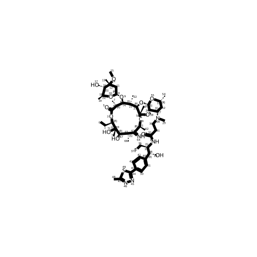 CC[C@H]1OC(=O)[C@H](C)[C@@H](O[C@H]2C[C@@](C)(OC)[C@@H](O)[C@H](C)O2)[C@H](C)[C@@H](O[C@H]2C[C@@H](N(C)CCC(=O)N[C@H](CF)[C@H](O)c3ccc(-c4nnc(C)s4)cc3)C[C@@H](C)O2)[C@](C)(OC)C[C@@H](C)C(=N)[C@H](C)[C@@H](O)[C@]1(C)O